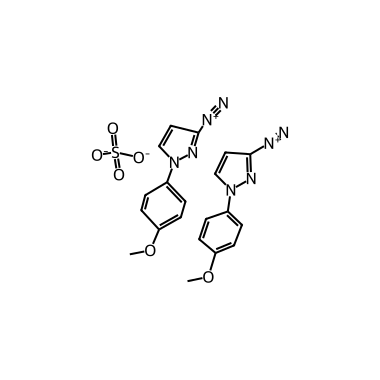 COc1ccc(-n2ccc([N+]#N)n2)cc1.COc1ccc(-n2ccc([N+]#N)n2)cc1.O=S(=O)([O-])[O-]